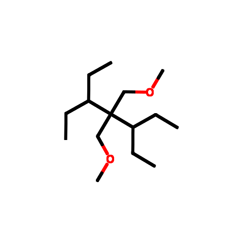 CCC(CC)C(COC)(COC)C(CC)CC